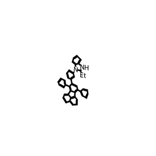 CCC1Nc2ccccc2N1c1cccc(-c2cc(-c3ccccc3)c3c(c2-c2ccccc2)-c2cccc4cccc-3c24)c1